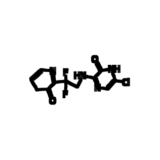 O=C1CC=CN=C1C(F)(F)CNc1ncc(Cl)[nH]c1=O